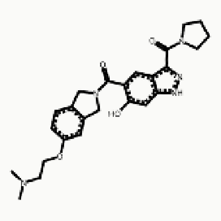 CN(C)CCOc1ccc2c(c1)CN(C(=O)c1cc3c(C(=O)N4CCCC4)n[nH]c3cc1O)C2